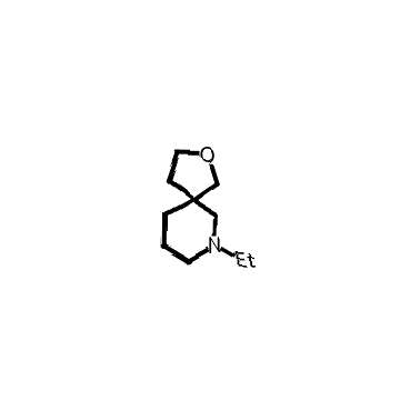 CCN1CCCC2(CCOC2)C1